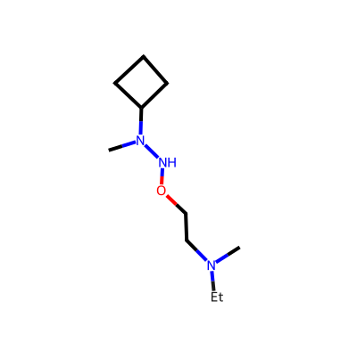 CCN(C)CCONN(C)C1CCC1